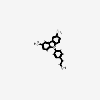 Cc1ccc2c(c1)c1cc(C)ccc1[s+]2-c1ccc(CCO)cc1